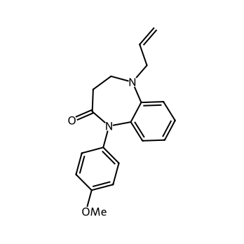 C=CCN1CCC(=O)N(c2ccc(OC)cc2)c2ccccc21